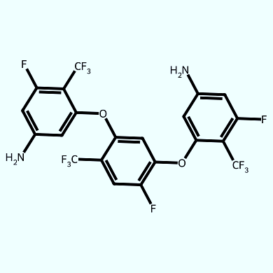 Nc1cc(F)c(C(F)(F)F)c(Oc2cc(Oc3cc(N)cc(F)c3C(F)(F)F)c(C(F)(F)F)cc2F)c1